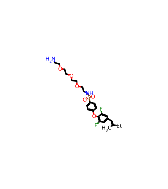 CC/C(C)=C/c1cc(F)c(Oc2ccc(S(=O)(=O)NCCOCCOCCOCCN)cc2)c(F)c1